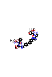 COC(=O)NC(C(=O)N1CCC[C@H]1c1ncc(-c2ccc3cc(-c4ccc(-c5cnc([C@@H]6CC7(CN6C(=O)[C@H](NC(=O)OC)c6ccccc6)OCCO7)[nH]5)cc4)ccc3c2)[nH]1)C1CCOCC1